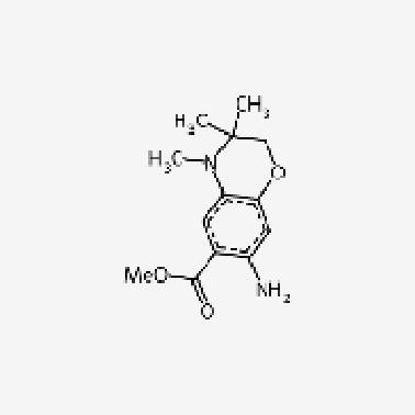 COC(=O)c1cc2c(cc1N)OCC(C)(C)N2C